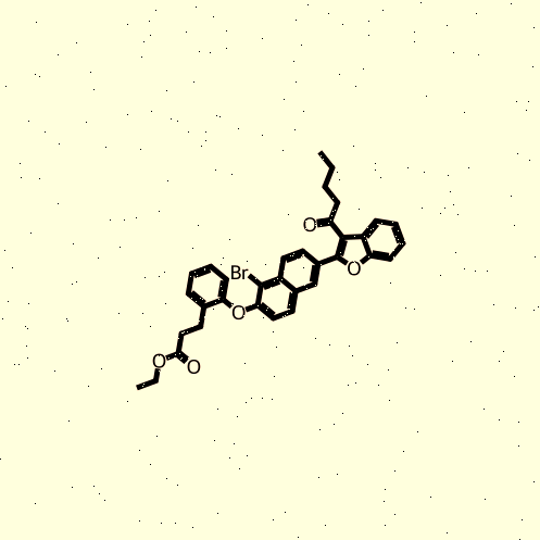 CCCCC(=O)c1c(-c2ccc3c(Br)c(Oc4ccccc4CCC(=O)OCC)ccc3c2)oc2ccccc12